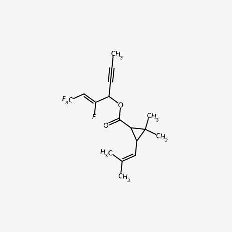 CC#CC(OC(=O)C1C(C=C(C)C)C1(C)C)/C(F)=C/C(F)(F)F